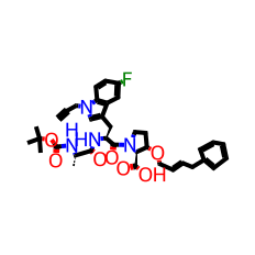 C#CCn1cc(C[C@H](NC(=O)[C@H](C)NC(=O)OC(C)(C)C)C(=O)N2CCC(OC/C=C/Cc3ccccc3)[C@H]2C(=O)O)c2cc(F)ccc21